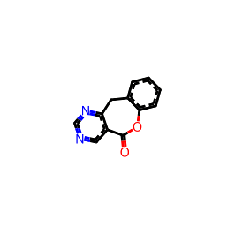 O=C1Oc2ccccc2Cc2ncncc21